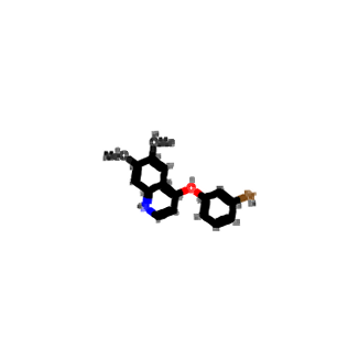 COc1cc2nccc(Oc3cccc(Br)c3)c2cc1OC